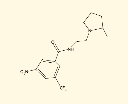 CC1CCCN1CCNC(=O)c1cc([N+](=O)[O-])cc(C(F)(F)F)c1